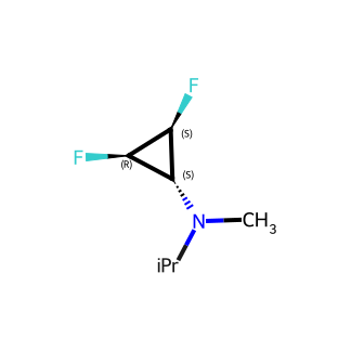 CC(C)N(C)[C@H]1[C@H](F)[C@@H]1F